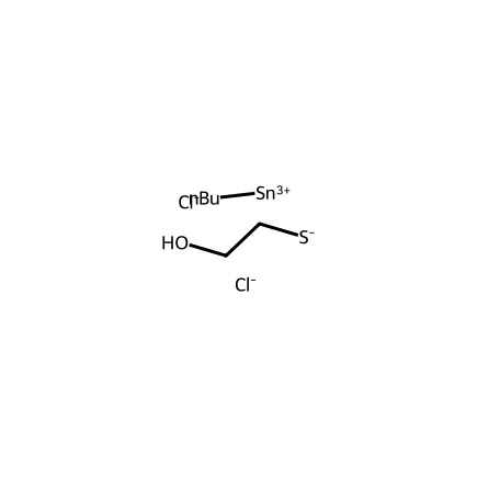 CCC[CH2][Sn+3].OCC[S-].[Cl-].[Cl-]